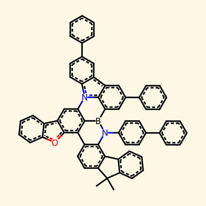 CC1(C)c2ccccc2-c2c1ccc1c2N(c2ccc(-c3ccccc3)cc2)B2c3c(cc4c(oc5ccccc54)c3-1)-n1c3ccc(-c4ccccc4)cc3c3cc(-c4ccccc4)cc2c31